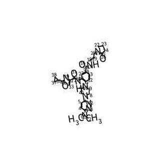 CN(C)c1ccc(N2CCN(c3ccc(C(=O)NCCCN4CCCC4=O)cc3NC(=O)c3coc(C4CC4)n3)CC2)nn1